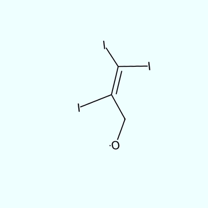 [O]CC(I)=C(I)I